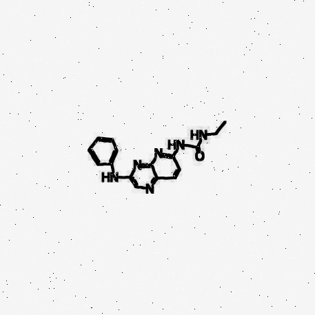 CCNC(=O)Nc1ccc2ncc(Nc3ccccc3)nc2n1